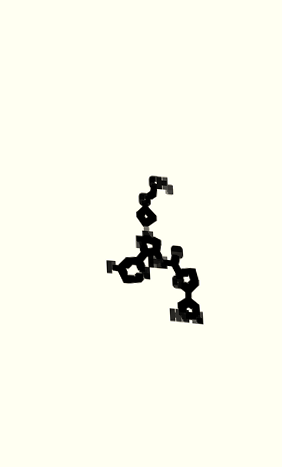 CCO[C@H]1C[C@H](n2cc(NC(=O)c3ccc(-c4cn[nH]c4)o3)c(-c3cc(F)ccn3)n2)C1